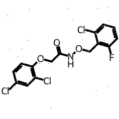 O=C(COc1ccc(Cl)cc1Cl)NOCc1c(F)cccc1Cl